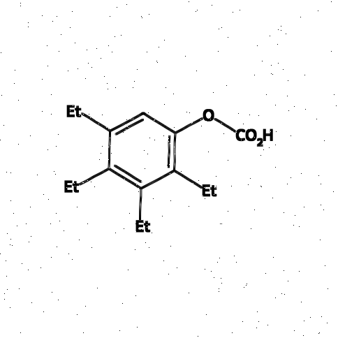 CCc1cc(OC(=O)O)c(CC)c(CC)c1CC